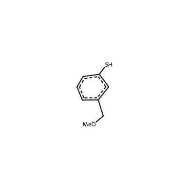 COCc1cccc(S)c1